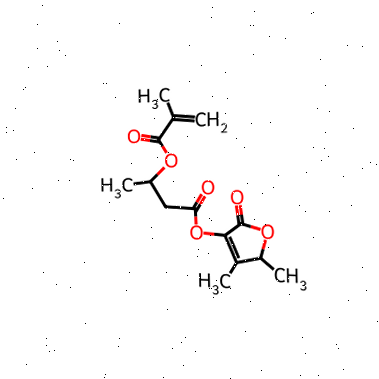 C=C(C)C(=O)OC(C)CC(=O)OC1=C(C)C(C)OC1=O